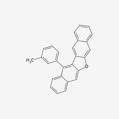 Cc1cccc(-c2c3ccccc3cc3oc4cc5ccccc5cc4c23)c1